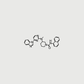 CN(c1nccc(-n2cnc3ccccc32)n1)C1CCCN(C(=O)Nc2cccc3ccccc23)C1